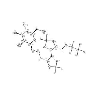 CC1(C)O[C@@H]([C@@H]2OC(C)(C)O[C@@H]2CO[Si](C)(C)C(C)(C)C)[C@@H](COO[C@@H]2O[C@H](CO)[C@@H](O)[C@H](O)[C@@H]2O)O1